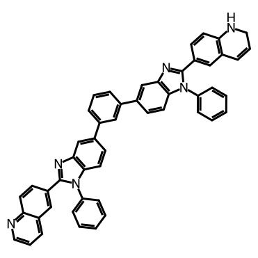 C1=Cc2cc(-c3nc4cc(-c5cccc(-c6ccc7c(c6)nc(-c6ccc8ncccc8c6)n7-c6ccccc6)c5)ccc4n3-c3ccccc3)ccc2NC1